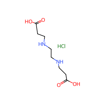 Cl.O=C(O)CCNCCNCCC(=O)O